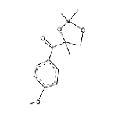 COc1ccc(C(=O)C2(C)CO[Si](C)(C)O2)cc1